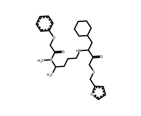 CC(CCCNC(CC1CCCCC1)C(=O)CSCc1ccco1)N(C)C(=O)COc1ccccc1